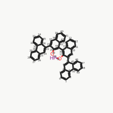 c1ccc2c(c1)cc(-c1cc3ccccc3c3c1o[pH]oc1c(-c4cc5ccccc5c5ccccc45)cc4ccccc4c13)c1ccccc12